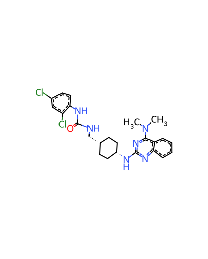 CN(C)c1nc(N[C@H]2CC[C@@H](CNC(=O)Nc3ccc(Cl)cc3Cl)CC2)nc2ccccc12